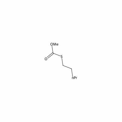 [CH2]OC(=O)SCCCCC